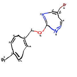 CC(C)c1ccc(COc2ncc(Br)cn2)cc1